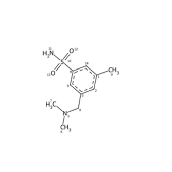 Cc1cc(CN(C)C)cc(S(N)(=O)=O)c1